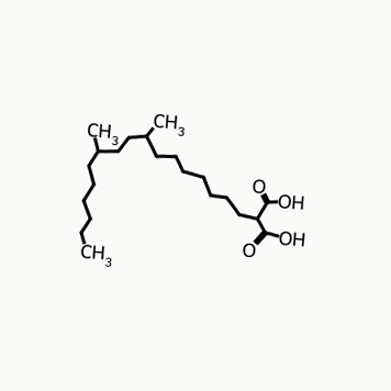 CCCCCCC(C)CCC(C)CCCCCCCC(C(=O)O)C(=O)O